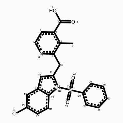 Cc1c(C(=O)O)ccnc1Cc1cc2cc(Cl)ccc2n1S(=O)(=O)c1ccccc1